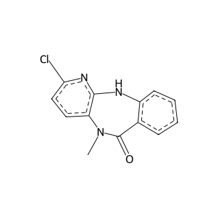 CN1C(=O)c2ccccc2Nc2nc(Cl)ccc21